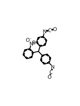 O=C=Nc1ccc(C(c2ccc(N=C=O)cc2)c2ccccc2[N+](=O)[O-])cc1